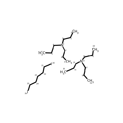 CCCN(CCC)CCC.CCCN(CCC)CCC.ICCCCCI